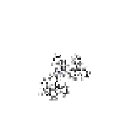 N/C(=N\C(=N/Cc1ccccc1)c1cccc(-n2c3ccccc3c3ccc4[nH]c5ccccc5c4c32)c1)c1ccc2c3ccccc3n(C3=CC=CCC3)c2c1